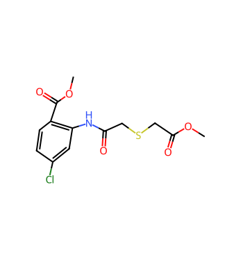 COC(=O)CSCC(=O)Nc1cc(Cl)ccc1C(=O)OC